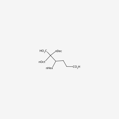 CCCCCCCCCCC(CCCCCCCC)(C(=O)O)C(CCCCCC)CCC(=O)O